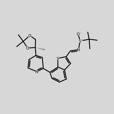 CC1(C)OC[C@@](C)(c2ccnc(-c3cccc4cc(/C=N/[S+]([O-])C(C)(C)C)sc34)c2)O1